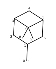 [CH2]C1CC2CC(C1)C2(C)C